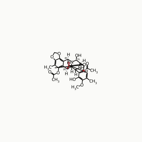 COc1c(C)cc2c(c1O)[C@H]1N[C@H](C2)[C@H](O)N2[C@H]1[C@@H]1SCC(NC(C)=O)C(=O)OC[C@H]2c2c3c(c(C)c(OC(C)=O)c21)OCO3